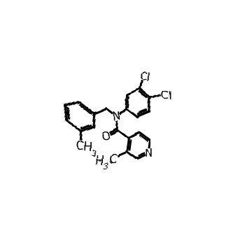 Cc1cccc(CN(C(=O)c2ccncc2C)c2ccc(Cl)c(Cl)c2)c1